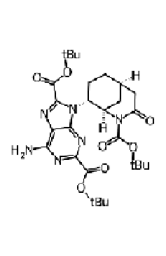 CC(C)(C)OC(=O)c1nc(N)c2nc(C(=O)OC(C)(C)C)n([C@@H]3CC[C@H]4CC(=O)N(C(=O)OC(C)(C)C)[C@@H]3C4)c2n1